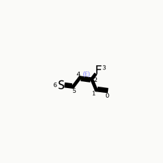 C=C/C(F)=C\C=S